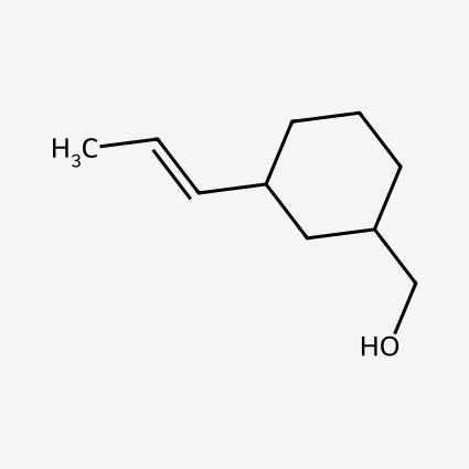 C/C=C/C1CCCC(CO)C1